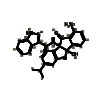 CC(C)c1ccc2c(c1)OC1(O)c3cccc(N)c3C(=O)C21NC(=O)c1n[nH]c2ccccc12